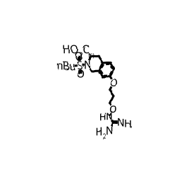 CCCCS(=O)(=O)N1Cc2cc(OCCCONC(=N)N)ccc2C[C@H]1C(=O)O